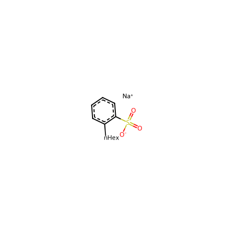 CCCCCCc1ccccc1S(=O)(=O)[O-].[Na+]